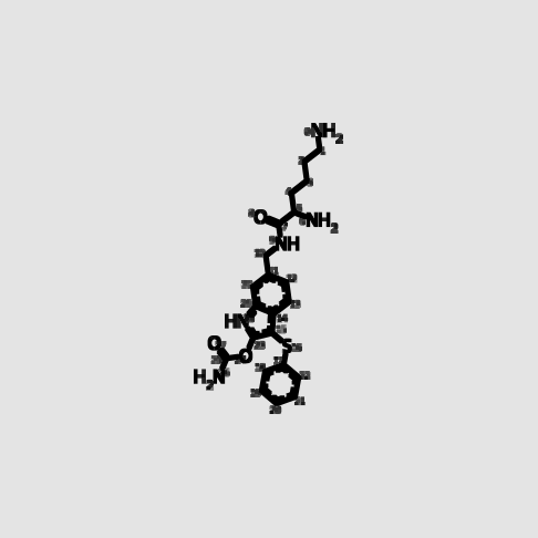 NCCCCC(N)C(=O)NCc1ccc2c(Sc3ccccc3)c(OC(N)=O)[nH]c2c1